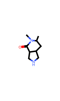 CC1CC2CNCC2C(=O)N1C